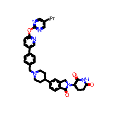 CC(C)c1cnc(Oc2ccc(-c3ccc(CN4CCC(c5ccc6c(c5)CN(C5CCC(=O)NC5=O)C6=O)CC4)cc3)cn2)nc1